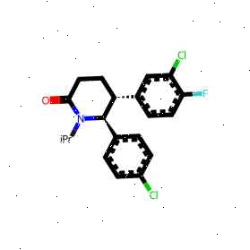 CC(C)N1C(=O)CC[C@H](c2ccc(F)c(Cl)c2)[C@H]1c1ccc(Cl)cc1